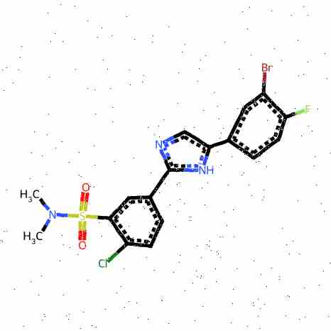 CN(C)S(=O)(=O)c1cc(-c2ncc(-c3ccc(F)c(Br)c3)[nH]2)ccc1Cl